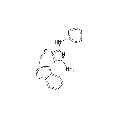 Nc1nc(Nc2ccccc2)sc1-c1c(C=O)ccc2ccccc12